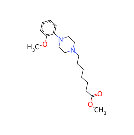 COC(=O)CCCCCCN1CCN(c2ccccc2OC)CC1